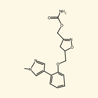 Cn1cc(-c2ccccc2OCC2CC(COC(N)=O)=NO2)cn1